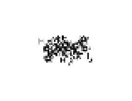 Cc1cc(C)cc(-n2c3cc(N(c4ccccc4)c4ccccc4)ccc3c3c4cccc5c4c4c(cccc4c32)c2c3ccc(N(c4ccccc4)c4ccccc4)cc3n(-c3cc(C)cc(C)c3)c52)c1